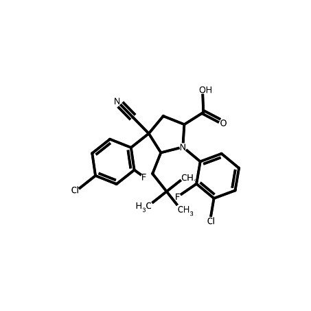 CC(C)(C)CC1N(c2cccc(Cl)c2F)C(C(=O)O)CC1(C#N)c1ccc(Cl)cc1F